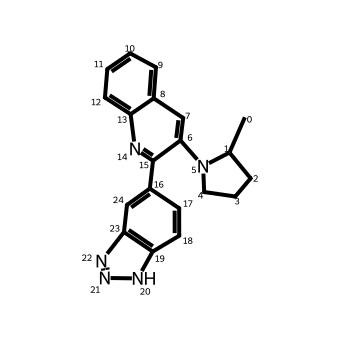 CC1CCCN1c1cc2ccccc2nc1-c1ccc2[nH]nnc2c1